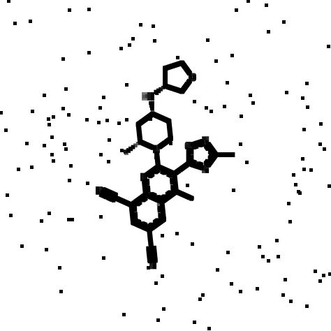 Cc1noc(-c2c(N3CC[C@@H](N[C@@H]4CCOC4)C[C@H]3C)nc3c(C#N)cc(C#N)cc3c2C)n1